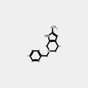 Cc1cc2c([nH]1)CN(Cc1ccccc1)CC2